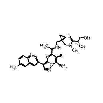 Cc1ccc2ncc(-c3cnn4c(N)c(Br)c(C(C)NCC5(CN(C)C(=O)[C@H](O)CO)CC5)nc34)cc2c1